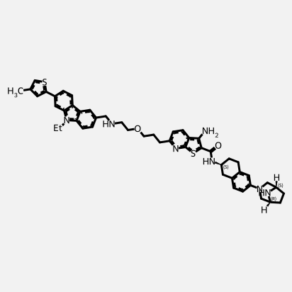 CCn1c2ccc(CNCCOCCCc3ccc4c(N)c(C(=O)N[C@H]5CCc6cc(N7C[C@H]8CC[C@@H](C7)N8)ccc6C5)sc4n3)cc2c2ccc(-c3cc(C)cs3)cc21